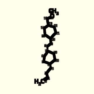 C=CCC[C@H]1CC[C@H](CCC2CCC(COC)CC2)CC1